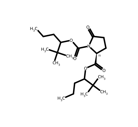 CCCC(OC(=O)[C@@H]1CCC(=O)N1C(=O)OC(CCC)C(C)(C)C)C(C)(C)C